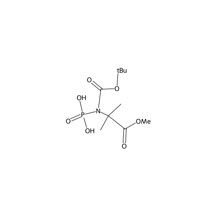 COC(=O)C(C)(C)N(C(=O)OC(C)(C)C)P(=O)(O)O